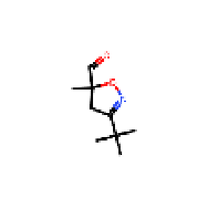 CC1(C=O)CC(C(C)(C)C)=NO1